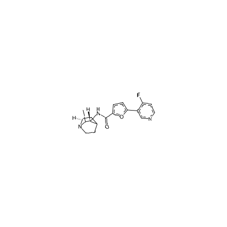 C[C@H]1[C@H](NC(=O)c2ccc(-c3cnccc3F)o2)C2CCN1CC2